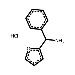 Cl.NC(c1ccccc1)c1ccco1